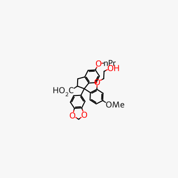 CCCOc1ccc2c(c1)CC(C(=O)O)C2(c1ccc2c(c1)OCO2)c1ccc(OC)cc1OCCO